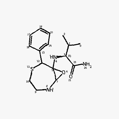 CC(C)[C@H](NC12OC1NCCSC2c1ccccc1)C(N)=O